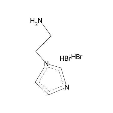 Br.Br.NCCn1ccnc1